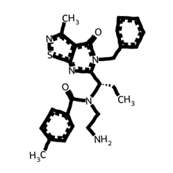 CC[C@@H](c1nc2snc(C)c2c(=O)n1Cc1ccccc1)N(CCN)C(=O)c1ccc(C)cc1